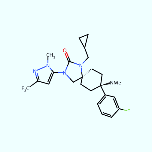 CN[C@]1(c2cccc(F)c2)CC[C@]2(CC1)CN(c1cc(C(F)(F)F)nn1C)C(=O)N2CC1CC1